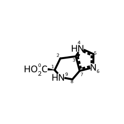 O=C(O)[C@H]1Cc2[nH]cnc2CN1